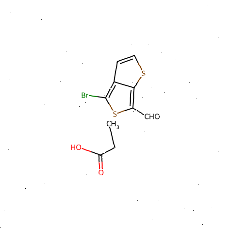 CCC(=O)O.O=Cc1sc(Br)c2ccsc12